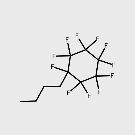 CCCCC1(F)C(F)(F)C(F)(F)C(F)(F)C(F)(F)C1(F)F